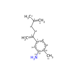 C=C(C)CCC(=C)c1ccc(C)c(N)c1